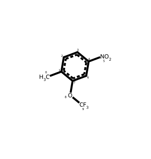 Cc1ccc([N+](=O)[O-])cc1OC(F)(F)F